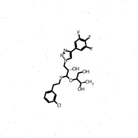 C[C@@H](O)C(CO)OC(SCCc1cccc(Cl)c1)[C@@H](O)Cn1cc(-c2cc(F)c(F)c(F)c2)nn1